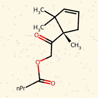 CCCC(=O)OCC(=O)[C@@]1(C)CC=CC1(C)C